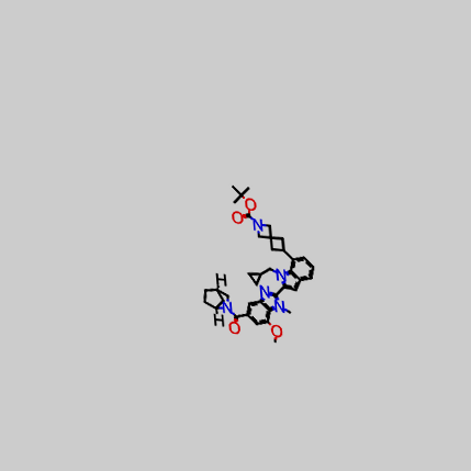 COc1cc(C(=O)N2C[C@H]3CC[C@@H]2C3)cc2nc(-c3cc4cccc(C5CC6(C5)CN(C(=O)OC(C)(C)C)C6)c4n3CC3CC3)n(C)c12